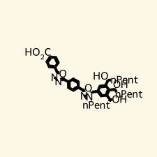 CCCCCC(O)c1cc(-c2nnc(-c3ccc(-c4nnc(-c5ccc(C(=O)O)cc5)o4)cc3)o2)cc(C(O)CCCCC)c1C(O)CCCCC